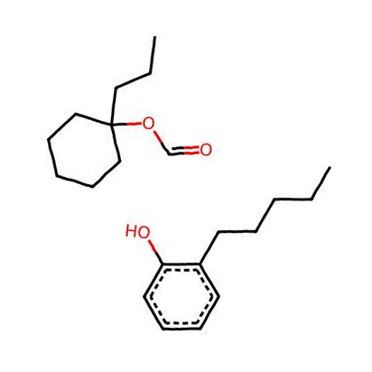 CCCC1(OC=O)CCCCC1.CCCCCc1ccccc1O